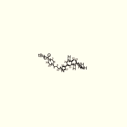 CC(C)(C)OC(=O)N1CCN(CCCn2cc(C3=CC4NC(NN=N)=CC=C4NC3)cn2)CC1